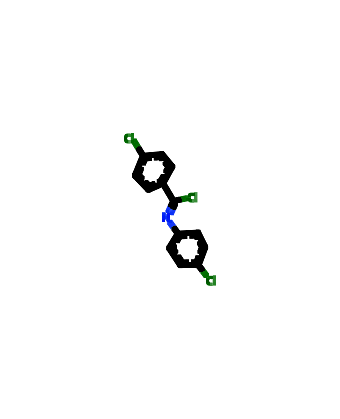 ClC(=Nc1ccc(Cl)cc1)c1ccc(Cl)cc1